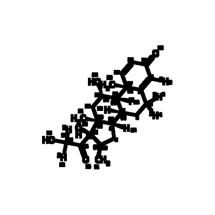 [2H]C1=C2C([2H])([2H])C[C@H]3[C@@H]4C[C@@H](C)[C@](O)(C(=O)C([2H])([2H])O)[C@@]4(C)C[C@H](O)[C@]3(F)[C@@]2(C)C=CC1=O